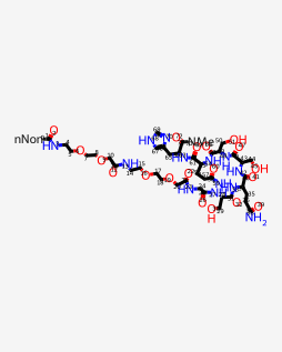 CCCCCCCCCC(=O)NCCOCCOCC(=O)NCCOCCOCC(=O)NCC(=O)NC(CO)C(=O)NC(CCC(N)=O)C(=O)NC(CO)C(=O)NC(CO)C(=O)NC(CCC(N)=O)C(=O)NC(Cc1c[nH]cn1)C(=O)NC